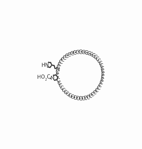 O=C(O)CN1CCC2(CCCCCCCCCCCCCCCCCCCCCCCCCCCCCCCCCCCCCCCCCCCCCCCCN(CCC3CCNCC3)CC2)CC1